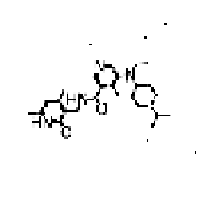 CCN(c1cncc(C(=O)NCc2c(C)cc(C)[nH]c2=O)c1C)[C@H]1CC[C@H](C(C)C)CC1